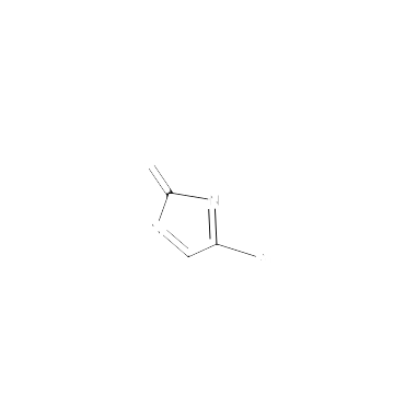 CC(=O)C1=NC(=O)N=C1